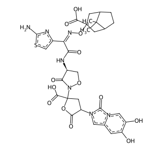 CC1(C)C2CCC1CC(O/N=C(\C(=O)N[C@H]1CON(C3(C(=O)O)CC(n4cc5cc(O)c(O)cn5c4=O)C(=O)O3)C1=O)c1csc(N)n1)(C(=O)O)C2